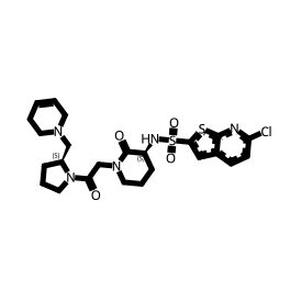 O=C1[C@@H](NS(=O)(=O)c2cc3ccc(Cl)nc3s2)CCCN1CC(=O)N1CCC[C@H]1CN1CC=CCC1